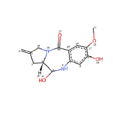 C=C1C[C@H]2C(O)Nc3cc(O)c(OC)cc3C(=O)N2C1